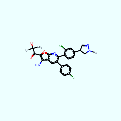 CC(=O)N1CC(c2ccc(-c3nc4oc(C(=O)C(C)(C)O)c(N)c4cc3-c3ccc(Cl)cc3)c(Cl)c2)C=N1